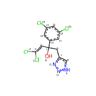 OC(C=C(Cl)Cl)(Cc1c[nH]nn1)c1cc(Cl)cc(Cl)c1